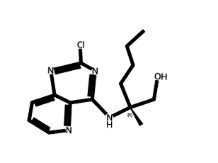 CCCC[C@](C)(CO)Nc1nc(Cl)nc2cccnc12